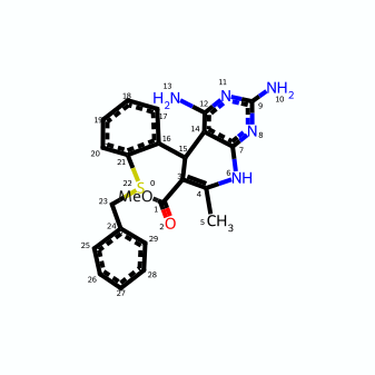 COC(=O)C1=C(C)Nc2nc(N)nc(N)c2C1c1ccccc1SCc1ccccc1